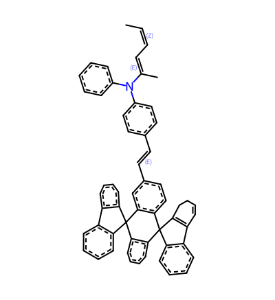 C/C=C\C=C(/C)N(c1ccccc1)c1ccc(/C=C/c2ccc3c(c2)C2(c4ccccc4-c4ccccc42)c2ccccc2C32C3=C(C=CCC3)c3ccccc32)cc1